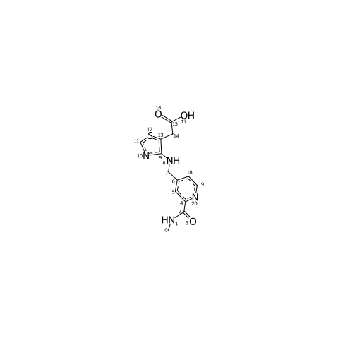 CNC(=O)c1cc(CNc2ncsc2CC(=O)O)ccn1